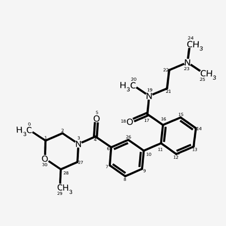 CC1CN(C(=O)c2cccc(-c3[c]cccc3C(=O)N(C)CCN(C)C)c2)CC(C)O1